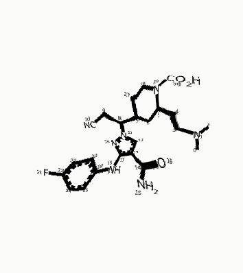 CN(C)CCC1CC(C(CC#N)n2cc(C(N)=O)c(Nc3ccc(F)cc3)n2)CCN1C(=O)O